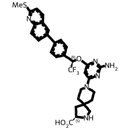 CSc1ccc2cc(-c3ccc([C@@H](Oc4cc(N5CCC6(CC5)CN[C@H](C(=O)O)C6)nc(N)n4)C(F)(F)F)cc3)ccc2n1